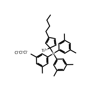 CCCCC1=C[C]([Ti+3])([Si](c2cc(C)cc(C)c2)(c2cc(C)cc(C)c2)c2cc(C)cc(C)c2)C=C1.[Cl-].[Cl-].[Cl-]